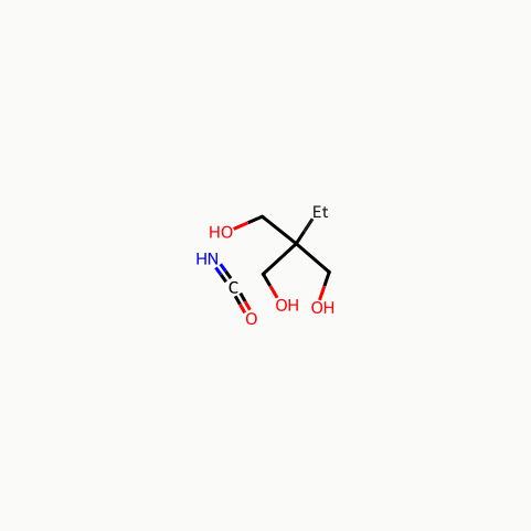 CCC(CO)(CO)CO.N=C=O